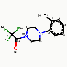 Cc1ccccc1N1CCN(C(=O)C(F)(F)F)CC1